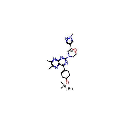 Cc1nc2nc(N3CCO[C@@H](c4cnn(C)c4)C3)nc(C3=CCC(O[Si](C)(C)C(C)(C)C)CC3)c2nc1C